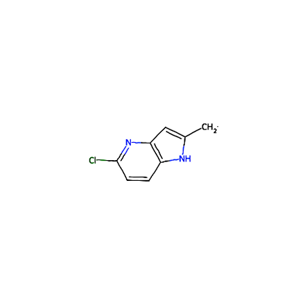 [CH2]c1cc2nc(Cl)ccc2[nH]1